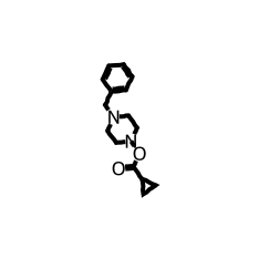 O=C(ON1CCN(Cc2ccccc2)CC1)C1CC1